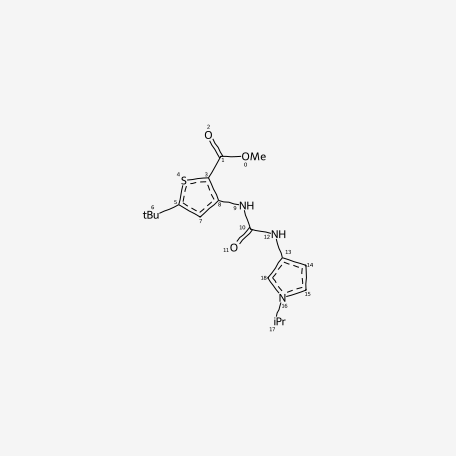 COC(=O)c1sc(C(C)(C)C)cc1NC(=O)Nc1ccn(C(C)C)c1